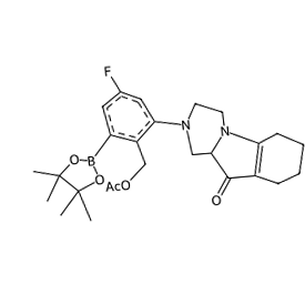 CC(=O)OCc1c(B2OC(C)(C)C(C)(C)O2)cc(F)cc1N1CCN2C3=C(CCCC3)C(=O)C2C1